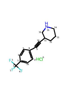 Cl.FC(F)(F)c1ccc(C#CC2CCCNC2)cc1